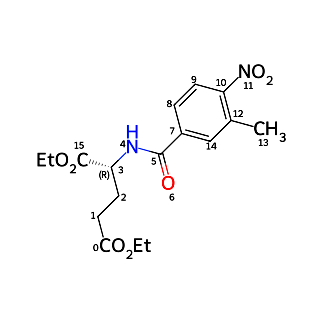 CCOC(=O)CC[C@@H](NC(=O)c1ccc([N+](=O)[O-])c(C)c1)C(=O)OCC